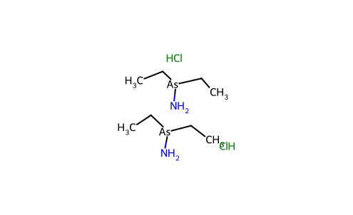 CC[As](N)CC.CC[As](N)CC.Cl.Cl